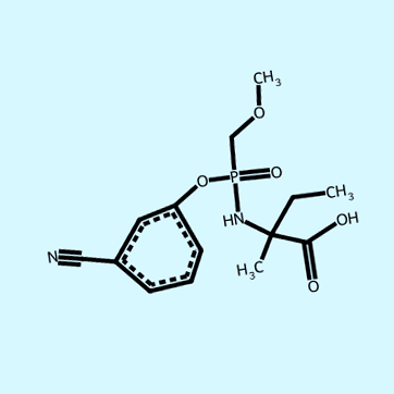 CCC(C)(NP(=O)(COC)Oc1cccc(C#N)c1)C(=O)O